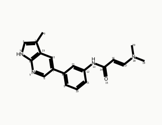 Cc1c[nH]c2ncc(-c3cccc(NC(=O)C=CN(C)C)c3)cc12